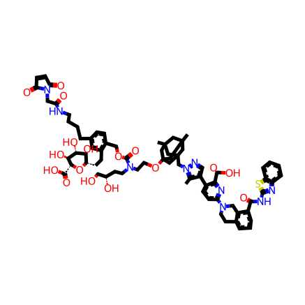 Cc1c(-c2ccc(N3CCc4cccc(C(=O)Nc5nc6ccccc6s5)c4C3)nc2C(=O)O)cnn1CC12CC3(C)CC(C)(C1)CC(OCCN(CC[C@H](O)CO)C(=O)OCc1ccc(CCCCNC(=O)CN4C(=O)C=CC4=O)cc1CC[C@@H]1O[C@H](C(=O)O)[C@@H](O)[C@H](O)[C@H]1O)(C3)C2